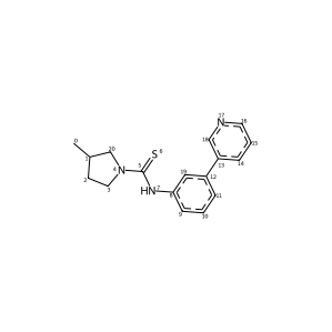 CC1CCN(C(=S)Nc2cccc(-c3cccnc3)c2)C1